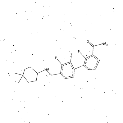 CC1(C)CCC(NCc2ccc(-c3cccc(C(N)=O)c3F)c(F)c2F)CC1